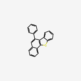 c1ccc(-c2cc3ccccc3c3sc4ccccc4c23)cc1